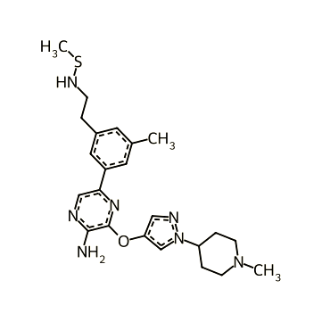 CSNCCc1cc(C)cc(-c2cnc(N)c(Oc3cnn(C4CCN(C)CC4)c3)n2)c1